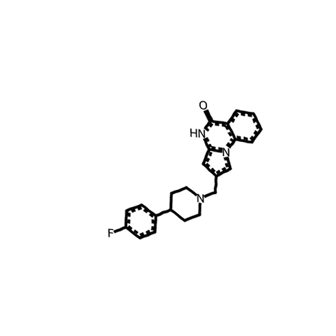 O=c1[nH]c2cc(CN3CCC(c4ccc(F)cc4)CC3)cn2c2ccccc12